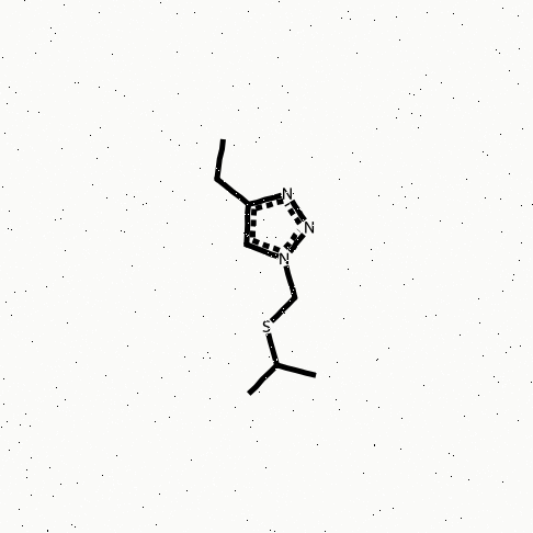 CCc1cn(CSC(C)C)nn1